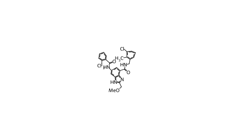 COCc1nc2c(C(=O)NCc3cccc(Cl)c3C)cc(NC(=O)c3ccccc3C(F)(F)F)cc2[nH]1